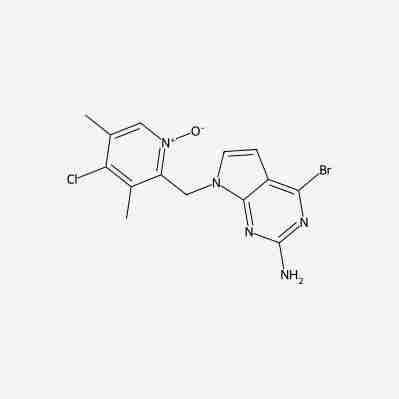 Cc1c[n+]([O-])c(Cn2ccc3c(Br)nc(N)nc32)c(C)c1Cl